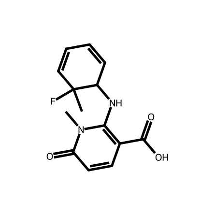 Cn1c(NC2C=CC=CC2(C)F)c(C(=O)O)ccc1=O